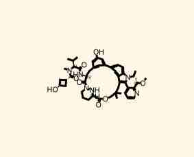 CCn1c(-c2cccnc2[C@H](C)OC)c2c3cc(ccc31)-c1cc(O)cc(c1)C[C@H](NC(=O)[C@H](C(C)C)N(C)C(=O)[C@H]1C[C@@H](O)C1)C(=O)N1CCC[C@H](N1)C(=O)OCC(C)(C)C2